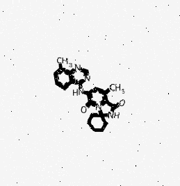 Cc1cc(Nc2ncnc3c(C)cccc23)c(=O)n2c1C(=O)NC21CCCCC1